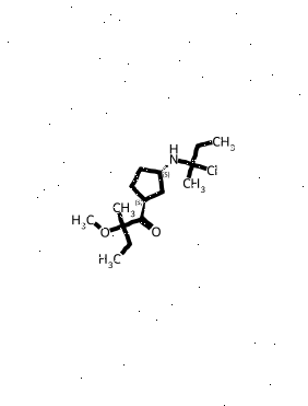 CCC(C)(Cl)N[C@H]1CC[C@H](C(=O)C(C)(CC)OC)C1